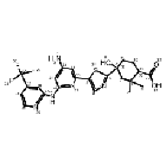 CC1(C)C[C@](O)(c2ncc(-c3cc(N)cc(Nc4cc(C(F)(F)F)ccn4)n3)s2)CC[C@H]1C(=O)O